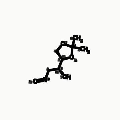 CC1(C)OC[C@H]([C@@H](O)CN=O)O1